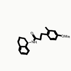 COc1ccc(CCC(=O)N[C@H]2CCCc3ccccc32)c(C)c1